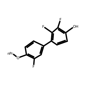 CCCOc1ccc(-c2ccc(O)c(F)c2F)cc1F